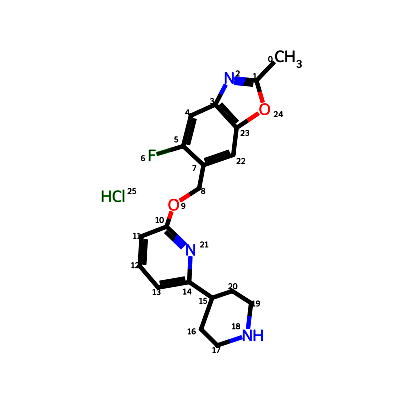 Cc1nc2cc(F)c(COc3cccc(C4CCNCC4)n3)cc2o1.Cl